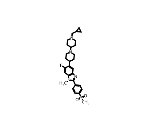 Cn1c(-c2ccc(S(C)(=O)=O)cc2)nc2cc(C3CCN(C4CCN(CC5CC5)CC4)CC3)c(F)cc21